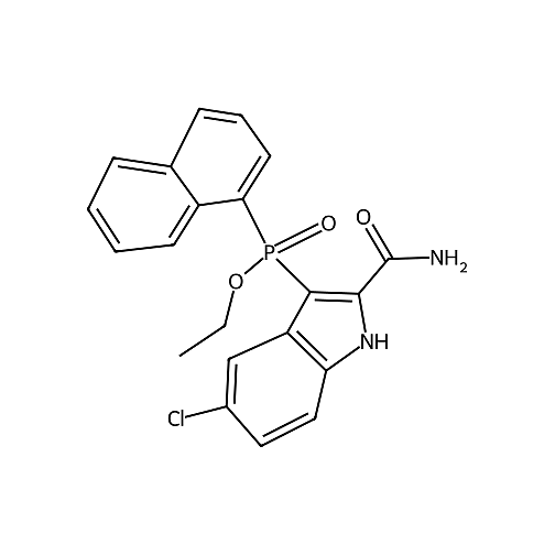 CCOP(=O)(c1cccc2ccccc12)c1c(C(N)=O)[nH]c2ccc(Cl)cc12